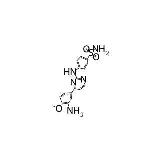 COc1ccc(-c2ccnc(Nc3ccc(S(N)(=O)=O)cc3)n2)cc1N